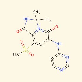 CC1(C)NC(=O)c2c(S(C)(=O)=O)cc(Nc3ccncn3)c(=O)n21